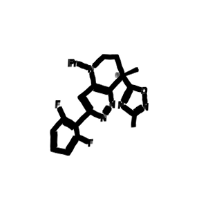 Cc1noc([C@@]2(C)CCN(C(C)C)c3cc(-c4c(F)cccc4F)nnc32)n1